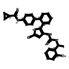 CC(OC(=O)Nc1cc(Cl)sc1-c1ccccc1-c1ccc(OC(=O)C2CC2)cc1)c1ccccc1Cl